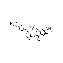 CCOc1cc(N)c(I)cc1C(=O)NCC1CN(CC2CCN(CC)CC2)CCO1